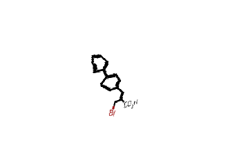 O=C(O)C(=Cc1ccc(-c2ccccc2)cc1)CBr